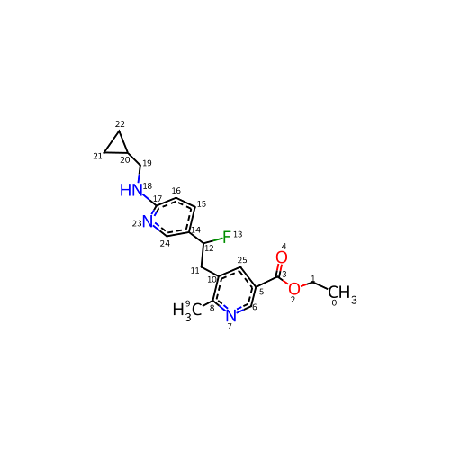 CCOC(=O)c1cnc(C)c(CC(F)c2ccc(NCC3CC3)nc2)c1